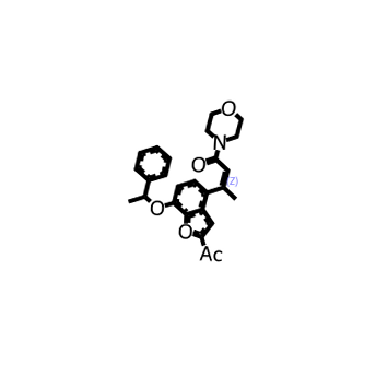 CC(=O)c1cc2c(/C(C)=C\C(=O)N3CCOCC3)ccc(OC(C)c3ccccc3)c2o1